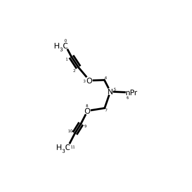 CC#COCN(CCC)COC#CC